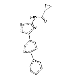 O=C(Nc1nc(-c2ccc(-c3ccccc3)cc2)cs1)C1CC1